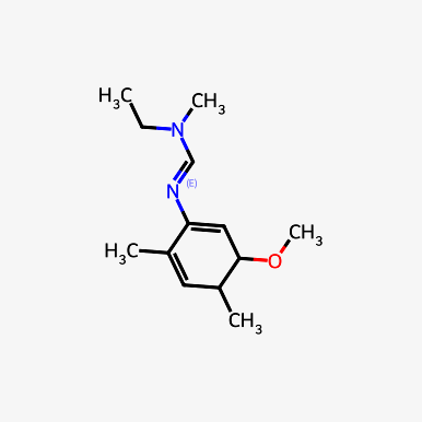 CCN(C)/C=N/C1=CC(OC)C(C)C=C1C